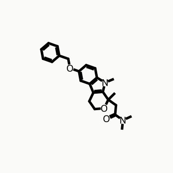 CN(C)C(=O)CC1(C)OCCc2c1n(C)c1ccc(OCc3ccccc3)cc21